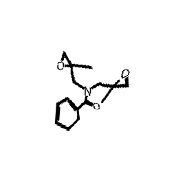 CC1(CN(CC2(C)CO2)C(=O)C2=CC=CCC2)CO1